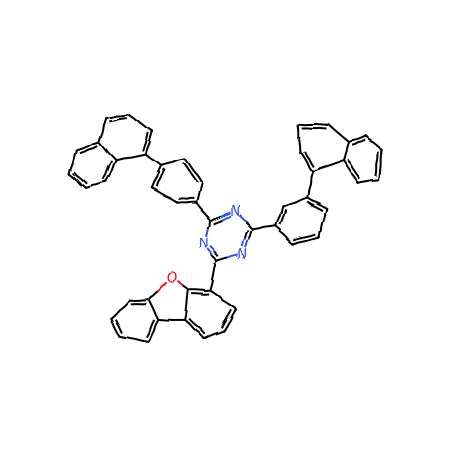 c1cc(-c2nc(-c3ccc(-c4cccc5ccccc45)cc3)nc(-c3cccc4c3oc3ccccc34)n2)cc(-c2cccc3ccccc23)c1